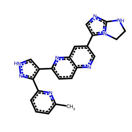 Cc1cccc(-c2n[nH]cc2-c2ccc3ncc(-c4cnc5n4CCN5)cc3n2)n1